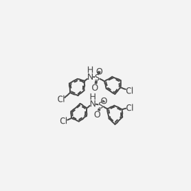 O=S(=O)(Nc1ccc(Cl)cc1)c1ccc(Cl)cc1.O=S(=O)(Nc1ccc(Cl)cc1)c1cccc(Cl)c1